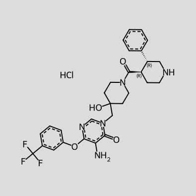 Cl.Nc1c(Oc2cccc(C(F)(F)F)c2)ncn(CC2(O)CCN(C(=O)[C@@H]3CCNC[C@H]3c3ccccc3)CC2)c1=O